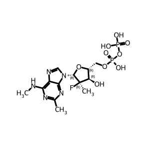 CNc1nc(C)nc2c1ncn2[C@@H]1O[C@H](COP(=O)(O)OP(=O)(O)O)[C@@H](O)[C@@]1(C)F